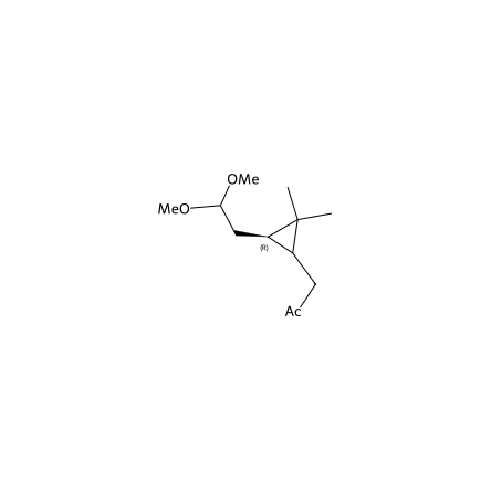 COC(C[C@@H]1C(CC(C)=O)C1(C)C)OC